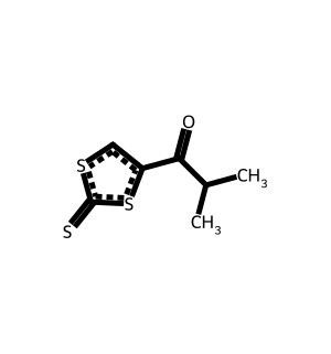 CC(C)C(=O)c1csc(=S)s1